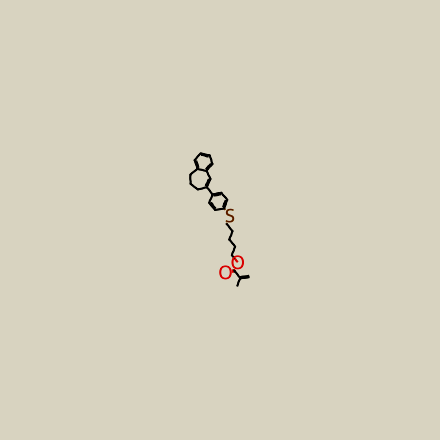 C=C(C)C(=O)OCCCCCSc1ccc(C2=Cc3ccccc3CCC2)cc1